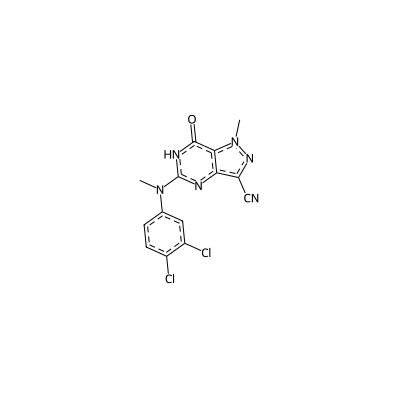 CN(c1ccc(Cl)c(Cl)c1)c1nc2c(C#N)nn(C)c2c(=O)[nH]1